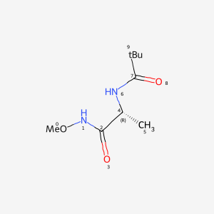 CONC(=O)[C@@H](C)NC(=O)C(C)(C)C